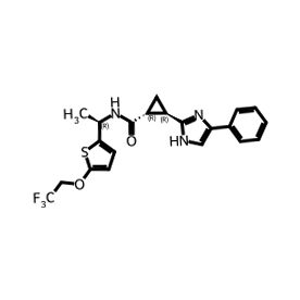 C[C@@H](NC(=O)[C@@H]1C[C@H]1c1nc(-c2ccccc2)c[nH]1)c1ccc(OCC(F)(F)F)s1